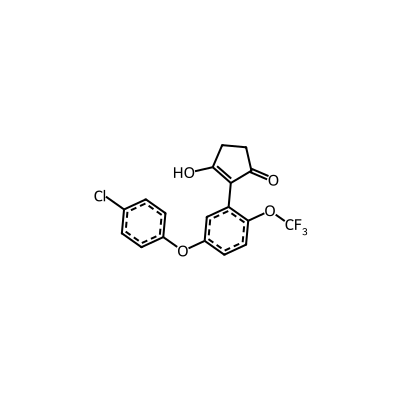 O=C1CCC(O)=C1c1cc(Oc2ccc(Cl)cc2)ccc1OC(F)(F)F